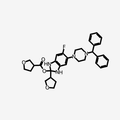 O=C(OC1(C2CCOC2)Nc2cc(F)c(N3CCN(C(c4ccccc4)c4ccccc4)CC3)cc2N1)C1CCOC1